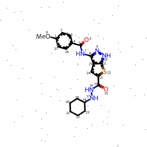 COc1ccc(C(=O)Nc2n[nH]c3sc(C(=O)NNC4CCCCC4)cc23)cc1